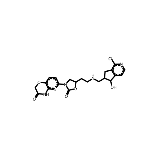 O=C1COc2ccc(N3CC(CCNCC4Cc5c(ccnc5Cl)C4O)OC3=O)nc2N1